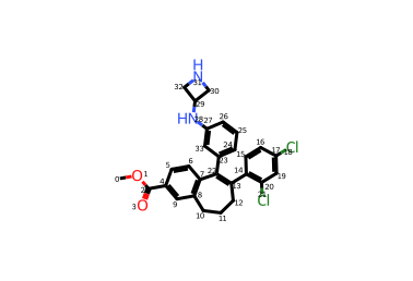 COC(=O)c1ccc2c(c1)CCCC(c1ccc(Cl)cc1Cl)=C2c1cccc(NC2CNC2)c1